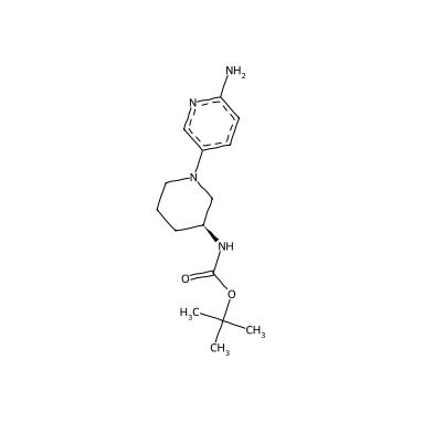 CC(C)(C)OC(=O)N[C@H]1CCCN(c2ccc(N)nc2)C1